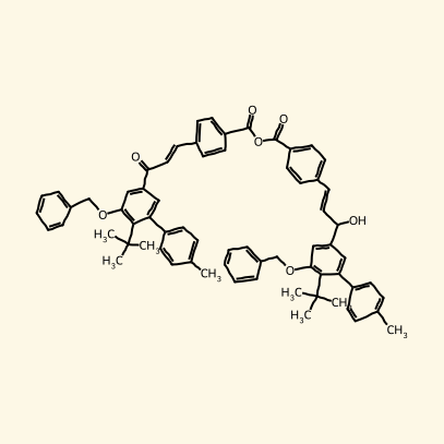 Cc1ccc(-c2cc(C(=O)C=Cc3ccc(C(=O)OC(=O)c4ccc(C=CC(O)c5cc(OCc6ccccc6)c(C(C)(C)C)c(-c6ccc(C)cc6)c5)cc4)cc3)cc(OCc3ccccc3)c2C(C)(C)C)cc1